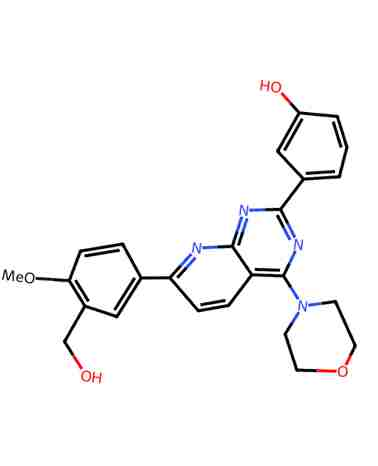 COc1ccc(-c2ccc3c(N4CCOCC4)nc(-c4cccc(O)c4)nc3n2)cc1CO